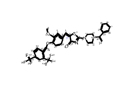 COc1cc(/C=C2/SC(N3CCN(C(C)c4ccccc4)CC3)=NC2=O)ccc1OCc1ccc(C(F)(F)F)cc1C(F)(F)F